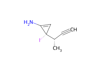 C#C[C@H](C)[C@]1(I)C=C1N